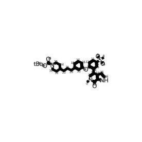 Cn1cc(-c2cc(S(C)(=O)=O)ccc2Oc2cccc(CCCC3CCN(C(=O)OC(C)(C)C)CC3)c2)c2cc[nH]c2c1=O